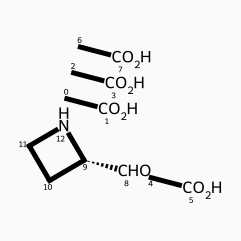 CC(=O)O.CC(=O)O.CC(=O)O.CC(=O)O.O=C[C@@H]1CCN1